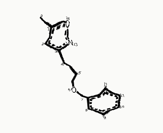 Cc1cc(CCOc2ccccc2)no1